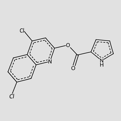 O=C(Oc1cc(Cl)c2ccc(Cl)cc2n1)c1ccc[nH]1